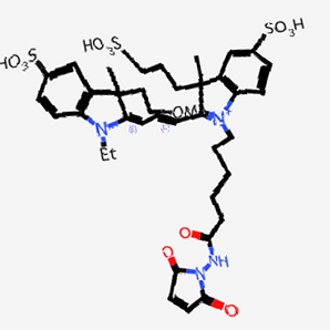 CCN1/C(=C/C=C/C2=[N+](CCCCCC(=O)NN3C(=O)C=CC3=O)c3ccc(S(=O)(=O)O)cc3C2(C)CCCS(=O)(=O)O)C(C)(CCOC)c2cc(S(=O)(=O)O)ccc21